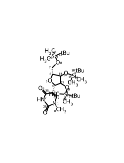 Cn1cc([C@@H]2O[C@H](CO[Si](C)(C)C(C)(C)C)C(O[Si](C)(C)C(C)(C)C)C2O[Si](C)(C)C(C)(C)C)c(=O)[nH]c1=O